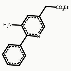 CCOC(=O)Cc1cnc(-c2ccccc2)c(N)c1